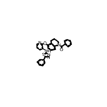 O=C(c1ccccc1)N1CCCc2c(Oc3ncccc3Nc3nnc(-c4ccccc4)s3)cccc21